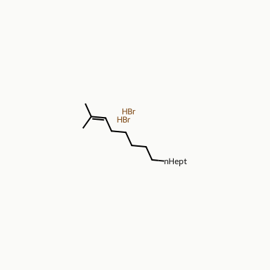 Br.Br.CCCCCCCCCCCCC=C(C)C